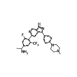 CC(N)c1cc(F)c(-c2cc3c(-c4ccc(N5CCN(C)CC5)cc4)n[nH]c3cn2)c(C(F)(F)F)c1